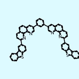 c1cc(-c2cnc3c(ccc4ccc(-c5ccc6sc7ccccc7c6c5)nc43)c2)cc(-c2cnc3c(ccc4ccc(-c5ccc6sc7ccccc7c6c5)nc43)c2)c1